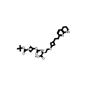 CC(C)(C)OC(=O)N1CC(OC(=O)N[C@@H](CCOC2CC(CCc3ccc4c(n3)NCCC4)C2)C(=O)O)C1